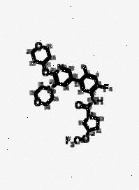 Cc1cc(F)c(NC(=O)N2CC[C@@H](OC(F)(F)F)C2)cc1-c1cnc(OC2CCOCC2)c(N2CCOCC2)c1